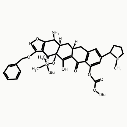 CN1CCCC1c1cc2c(c(OC(=O)OC(C)(C)C)c1)C(=O)C1=C(O)[C@]3(O[Si](C)(C)C(C)(C)C)C(=O)c4c(OCc5ccccc5)noc4[C@@H](N)[C@@H]3C[C@@H]1C2